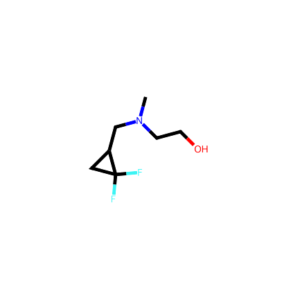 CN(CCO)CC1CC1(F)F